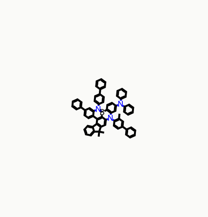 Cc1cc(-c2ccccc2)ccc1N1c2cc(N(c3ccccc3)c3ccccc3)ccc2B2c3c1cc1c(c3-c3ccc(-c4ccccc4)cc3N2c2ccc(-c3ccccc3)cc2)-c2ccccc2C1(C)C